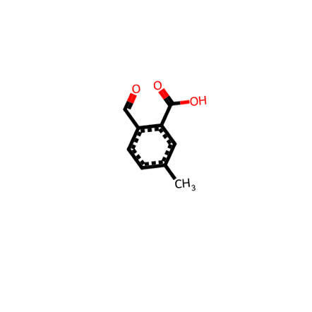 Cc1ccc(C=O)c(C(=O)O)c1